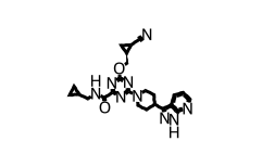 N#CC1C[C@@H]1COc1nc(C(=O)NCC2CC2)nc(N2CCC(c3n[nH]c4ncccc34)CC2)n1